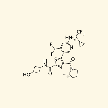 C[C@H]1CCCN1C(=O)c1nc(C(=O)NC2CC(O)C2)sc1-c1cnc(N[C@H](C2CC2)C(F)(F)F)cc1C(F)F